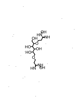 N=C(CCOCC(O)C(O)C(O)C(CO)OCCC(=N)NO)NO